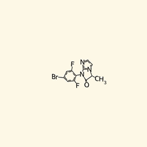 CC1C(=O)N(c2c(F)cc(Br)cc2F)c2nccn21